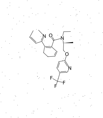 C/C=C\C(=N/C)C1=C(C(=O)N(CC)[C@@H](C)COc2ccc(C(F)(F)F)cn2)C=CCC1